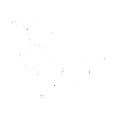 CCn1c2ccc(C(C)=O)cc2c2c3c(ccc21)C(=O)CC3